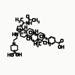 CC(=O)NC(C)[C@@H]1CC[C@]2(NCCN3CCS(O)(O)CC3)CC[C@]3(C)[C@H](CC[C@@H]4[C@@]5(C)CC=C(c6ccc(C(=O)O)cc6)C(C)(C)[C@@H]5CC[C@]43C)[C@@H]12